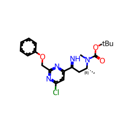 C[C@H](CC(=N)c1cc(Cl)nc(COc2ccccc2)n1)N(C)C(=O)OC(C)(C)C